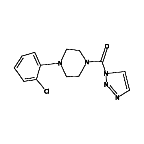 O=C(N1CCN(c2ccccc2Cl)CC1)n1ccnn1